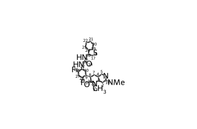 CNc1cc2c(cn1)cc(-c1cc(NC(=O)Nc3csc4ccccc34)c(F)cc1F)c(=O)n2C